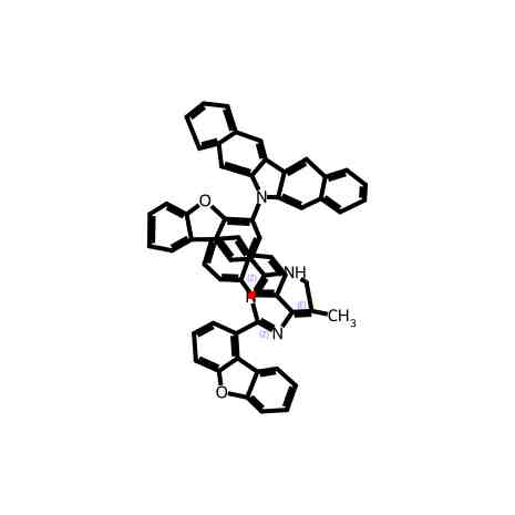 C\C1=C(c2ccc3ccccc3c2)/N=C(c2cccc3oc4ccccc4c23)\N=C(\c2cc(-n3c4cc5ccccc5cc4c4cc5ccccc5cc43)c3oc4ccccc4c3c2)NC1